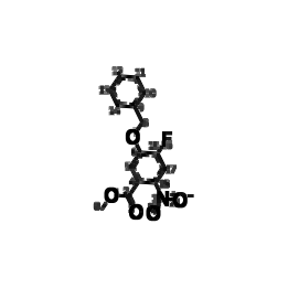 COC(=O)c1cc(OCc2ccccc2)c(F)cc1[N+](=O)[O-]